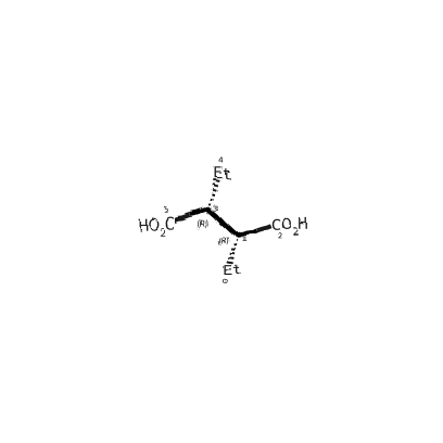 CC[C@@H](C(=O)O)[C@@H](CC)C(=O)O